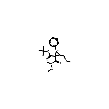 COCC1[C@H](c2ccccc2)C1(C(=O)OC(C)(C)C)C(=O)N(C)OC